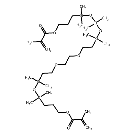 C=C(C)C(=O)OCCC[Si](C)(C)O[Si](C)(C)CCOCCOCC[Si](C)(C)O[Si](C)(C)O[Si](C)(C)CCCOC(=O)C(=C)C